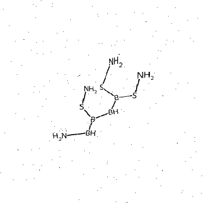 NBB(BB(SN)SN)SN